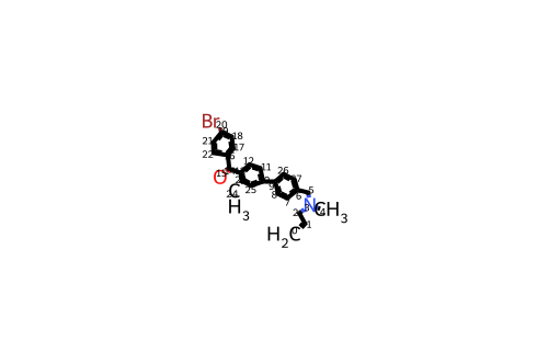 C=CCN(C)Cc1ccc(-c2ccc(C(=O)c3ccc(Br)cc3)c(C)c2)cc1